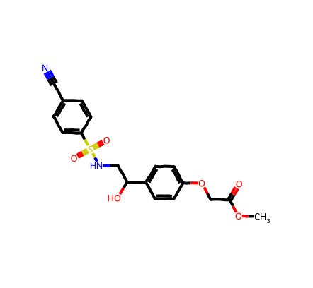 COC(=O)COc1ccc(C(O)CNS(=O)(=O)c2ccc(C#N)cc2)cc1